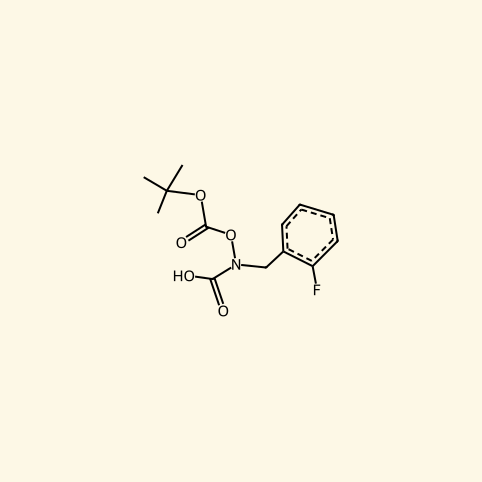 CC(C)(C)OC(=O)ON(Cc1ccccc1F)C(=O)O